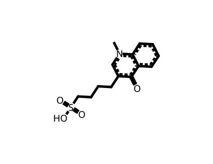 Cn1cc(CCCCS(=O)(=O)O)c(=O)c2ccccc21